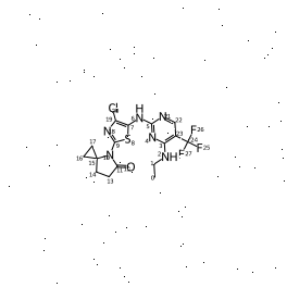 CCNc1nc(Nc2sc(N3C(=O)CCC34CC4)nc2Cl)ncc1C(F)(F)F